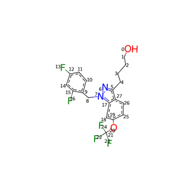 OCCCCc1nn(Cc2ccc(F)cc2F)c2cc(OC(F)(F)F)ccc12